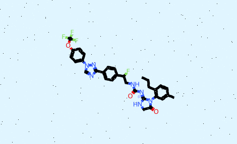 CCCc1ccc(C)cc1N1C(=O)CN/C1=N\C(=O)NCC(F)c1ccc(-c2ncn(-c3ccc(OC(F)(F)F)cc3)n2)cc1